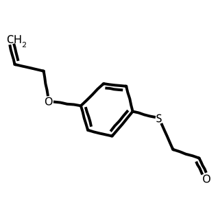 C=CCOc1ccc(SCC=O)cc1